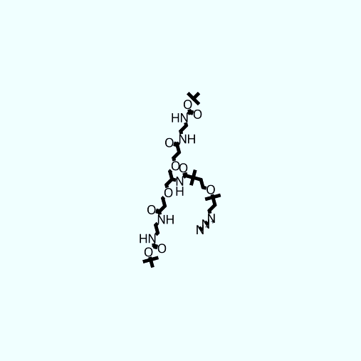 CC(C)(C)OC(=O)NCCNC(=O)CCOCC(COCCC(=O)NCCNC(=O)OC(C)(C)C)NC(=O)C(C)(C)CCOC(C)(C)CCN=[N+]=[N-]